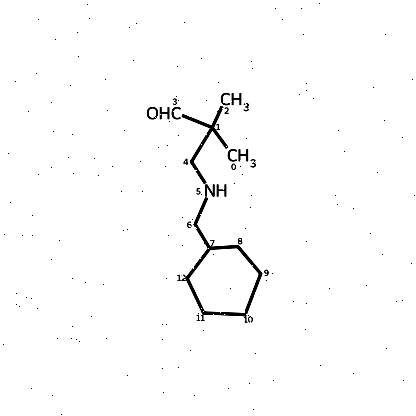 CC(C)(C=O)CNCC1CCCCC1